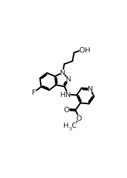 COC(=O)c1ccncc1Nc1nn(CCCO)c2ccc(F)cc12